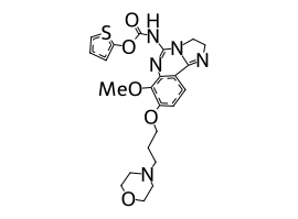 COc1c(OCCCN2CCOCC2)ccc2c1N=C(NC(=O)Oc1cccs1)N1CCN=C21